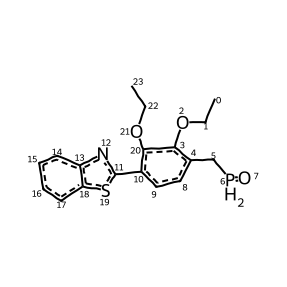 CCOc1c(C[PH2]=O)ccc(-c2nc3ccccc3s2)c1OCC